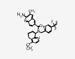 COc1ccnc2c1CCCC2N(Cc1ccc(C(F)(F)F)cn1)C(=O)c1ccc2nc(N)c(C)cc2c1